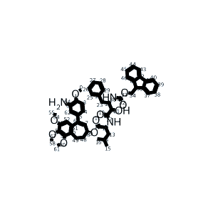 COc1ccc(C2=C[C@@H](OC(=O)C(CC(C)C)NC(=O)C(O)C(Cc3ccccc3)NC(=O)OCC3c4ccccc4-c4ccccc43)CCc3c2cc(OC)c(OC)c3OC)cc1N